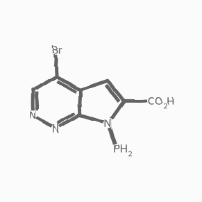 O=C(O)c1cc2c(Br)cnnc2n1P